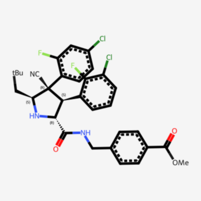 COC(=O)c1ccc(CNC(=O)[C@@H]2N[C@@H](CC(C)(C)C)[C@](C#N)(c3ccc(Cl)cc3F)[C@H]2c2cccc(Cl)c2F)cc1